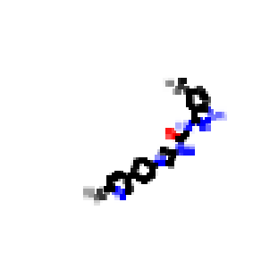 Cc1ccc2[nH]nc(NCC(=O)NC3CN(C4CCC(c5ccc(C)nc5)CC4)C3)c2c1